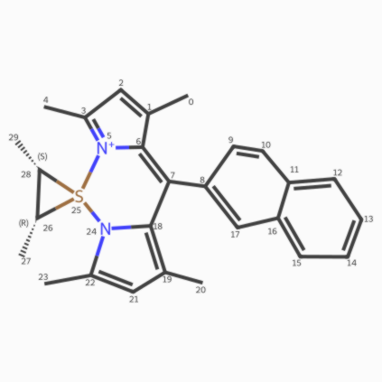 CC1=CC(C)=[N+]2C1=C(c1ccc3ccccc3c1)c1c(C)cc(C)n1S21[C@H](C)[C@@H]1C